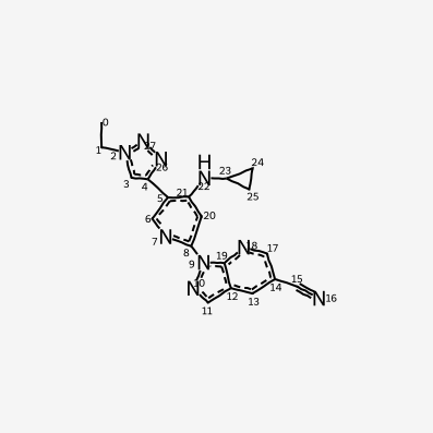 CCn1cc(-c2cnc(-n3ncc4cc(C#N)cnc43)cc2NC2CC2)nn1